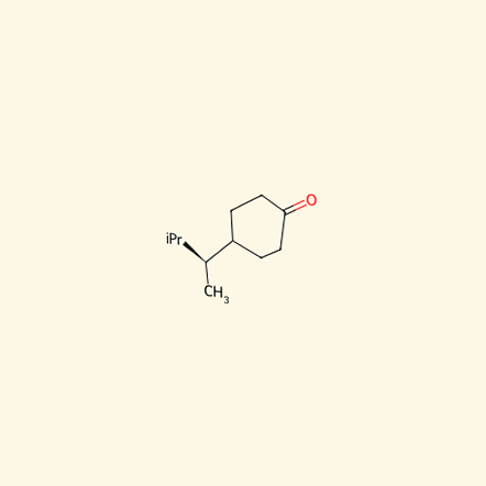 CC(C)[C@H](C)C1CCC(=O)CC1